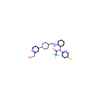 O=C(N(c1ccc(Cl)cn1)c1ccccc1NCC1CCN(c2ccnc(CO)c2)CC1)C(F)(F)F